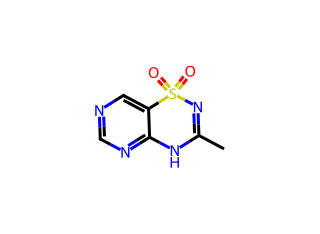 CC1=NS(=O)(=O)c2cncnc2N1